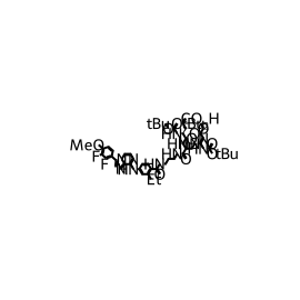 CCc1cc(Nc2nccn3c(-c4ccc(OC)c(F)c4F)cnc23)ccc1C(=O)NCCCNC(=O)C(CN/C(=N\C(=O)OC(C)(C)C)NC(=O)OC(C)(C)C)NC(=O)[C@H](CCC(=O)O)NC(=O)OC(C)(C)C